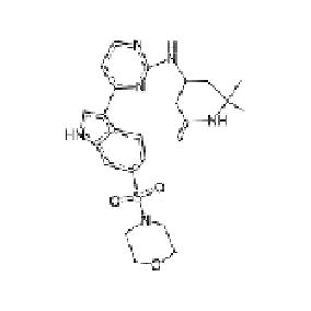 C=C1CC(Nc2nccc(-c3c[nH]c4cc(S(=O)(=O)N5CCOCC5)ccc34)n2)CC(C)(C)N1